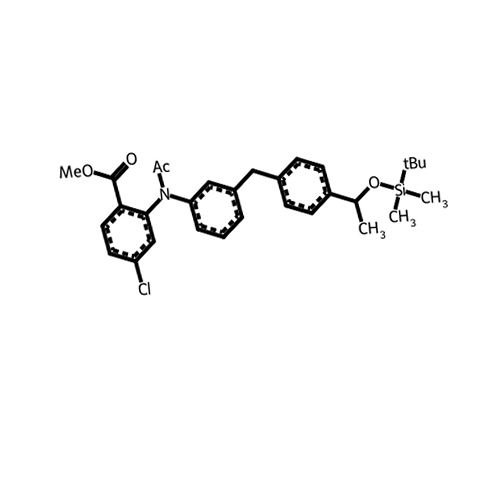 COC(=O)c1ccc(Cl)cc1N(C(C)=O)c1cccc(Cc2ccc(C(C)O[Si](C)(C)C(C)(C)C)cc2)c1